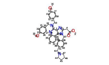 COC(=O)Cc1nc2c(N(Cc3ccc(OC)cc3)Cc3ccc(OC)cc3)nc3ccccc3c2n1Cc1ccc(CN2CCCC2)cc1